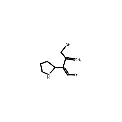 C=C(CO)/C(=C\CC)C1CCCN1